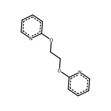 c1ccc(OCCOc2ccccn2)nc1